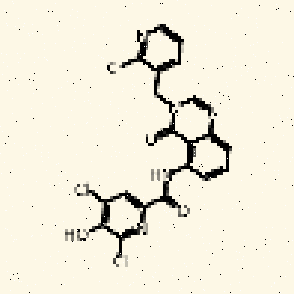 O=C(Nc1cccc2ncn(Cc3cccnc3Cl)c(=O)c12)c1cc(Cl)c(O)c(Cl)n1